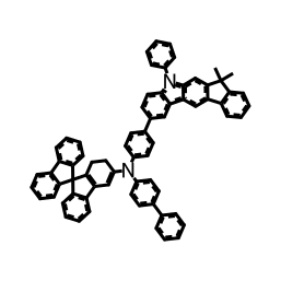 CC1(C)c2ccccc2-c2cc3c4cc(-c5ccc(N(C6=CC7=C(CC6)C6(c8ccccc87)c7ccccc7-c7ccccc76)c6ccc(-c7ccccc7)cc6)cc5)ccc4n(-c4ccccc4)c3cc21